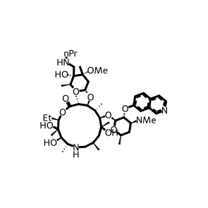 CCCNC[C@]1(O)[C@H](C)O[C@@H](O[C@H]2[C@H](C)[C@@H](O[C@@H]3O[C@H](C)C[C@H](NC)[C@H]3Oc3ccc4ccncc4c3)[C@](C)(O)C[C@@H](C)CN[C@H](C)[C@@H](O)[C@](C)(O)[C@@H](CC)OC(=O)[C@@H]2C)C[C@@]1(C)OC